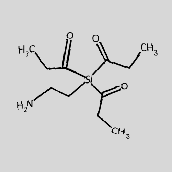 CCC(=O)[Si](CCN)(C(=O)CC)C(=O)CC